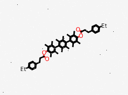 CCc1ccc(CCC(=O)Oc2c(C)c(C)c(-c3c(C)c(C)c(-c4c(C)c(C)c(OC(=O)CCc5ccc(CC)cc5)c(C)c4C)c(C)c3C)c(C)c2C)cc1